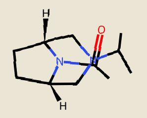 CC(=O)N1[C@@H]2CC[C@H]1CN(C(C)C)C2